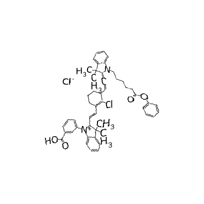 CC1(C)C(=C=CC2CCCC(/C=C/C3=[N+](c4cccc(C(=O)O)c4)c4ccccc4C3(C)C)=C2Cl)N(CCCCCC(=O)Oc2ccccc2)c2ccccc21.[Cl-]